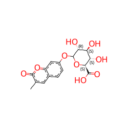 Cc1cc2ccc(OC3O[C@H](C(=O)O)[C@@H](O)[C@H](O)[C@H]3O)cc2oc1=O